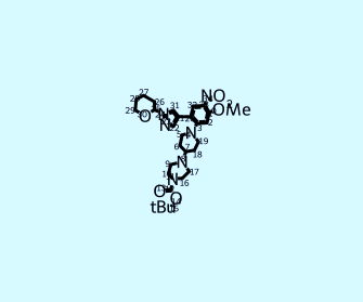 COc1cc(N2CCC(N3CCN(C(=O)OC(C)(C)C)CC3)CC2)c(-c2cnn(C3CCCCO3)c2)cc1[N+](=O)[O-]